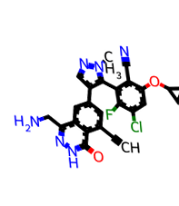 C#Cc1cc(-c2cnn(C)c2-c2c(F)c(Cl)cc(OC3CC3)c2C#N)cc2c(CN)n[nH]c(=O)c12